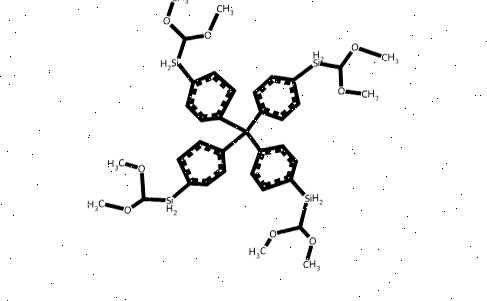 COC(OC)[SiH2]c1ccc(C(c2ccc([SiH2]C(OC)OC)cc2)(c2ccc([SiH2]C(OC)OC)cc2)c2ccc([SiH2]C(OC)OC)cc2)cc1